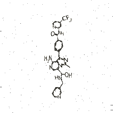 Cc1nc(-c2ccc(C(=O)Nc3cc(C(F)(F)F)ccn3)cc2)c2c(N)ncc(C(O)NCc3cccnc3)n12